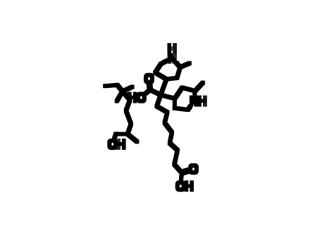 CC1CC(C(CCCCCCCC(=O)O)(C(=O)O)C2CCNC(C)C2)CCN1.CCC(C)(C)CCCC(C)CO